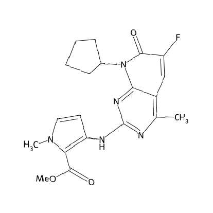 COC(=O)c1c(Nc2nc(C)c3cc(F)c(=O)n(C4CCCC4)c3n2)ccn1C